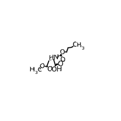 CCCCOC(=O)N[C@@H](CC(=O)OC)C(=O)O